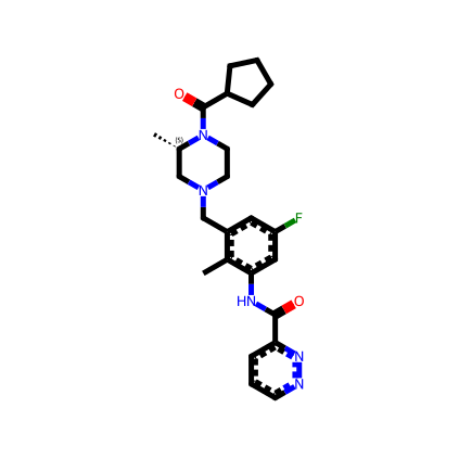 Cc1c(CN2CCN(C(=O)C3CCCC3)[C@@H](C)C2)cc(F)cc1NC(=O)c1cccnn1